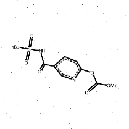 CCCCS(=O)(=O)NC(=O)c1ccc(OC(=O)OC)nc1